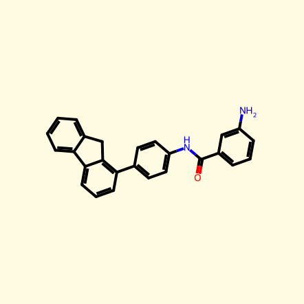 Nc1cccc(C(=O)Nc2ccc(-c3cccc4c3Cc3ccccc3-4)cc2)c1